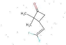 CC1(C)C(=O)CC1C=C(F)F